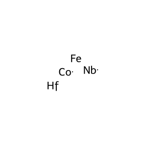 [Co].[Fe].[Hf].[Nb]